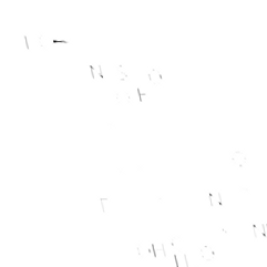 CC[C@@](CO)(CN1C(=O)CNC1=O)c1cc(F)c(CN2[C@@H](C)CC[C@H](c3ccccc3)S2(=O)=O)cc1F